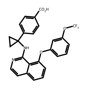 O=C(O)c1ccc(C2(Nc3nccc4cccc(Oc5cccc(OC(F)(F)F)c5)c34)CC2)cc1